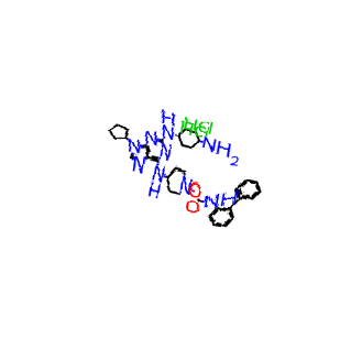 Cl.Cl.N[C@H]1CC[C@H](Nc2nc(NC3CCN(OC(=O)Nc4ccccc4-c4ccccc4)CC3)c3ncn(C4CCCC4)c3n2)CC1